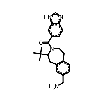 CC(C)(C)C1Cc2cc(CN)ccc2CCN1C(=O)c1ccc2nc[nH]c2c1